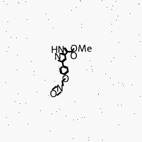 COC(=O)c1c[nH]c2ncc(-c3ccc(OCCN4CCOCC4)cc3)cc12